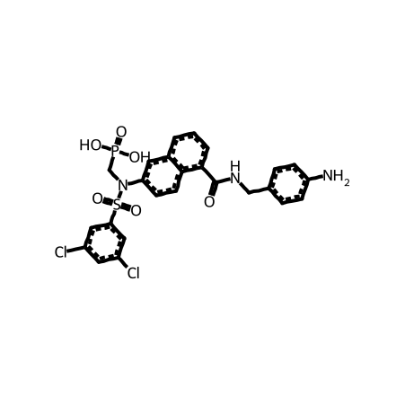 Nc1ccc(CNC(=O)c2cccc3cc(N(CP(=O)(O)O)S(=O)(=O)c4cc(Cl)cc(Cl)c4)ccc23)cc1